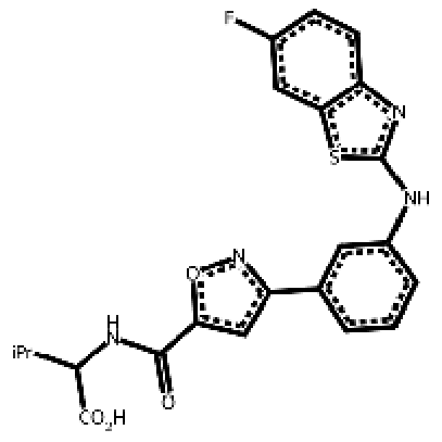 CC(C)C(NC(=O)c1cc(-c2cccc(Nc3nc4ccc(F)cc4s3)c2)no1)C(=O)O